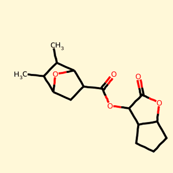 CC1C2CC(C(=O)OC3C(=O)OC4CCCC43)C(O2)C1C